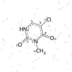 Cn1c(=O)[nH]cc(Cl)c1=O